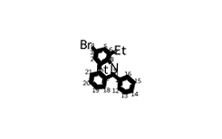 CCc1cc(Br)cc(CC)c1N=C(c1ccccc1)c1ccccc1